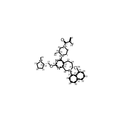 C=C(F)C(=O)N1CCN(c2nc(OC[C@@H]3CCCN3C)nc3c2CCCN(c2cccc4cccc(Cl)c24)C3)[C@@H](C)C1